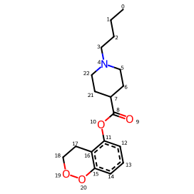 CCCCN1CCC(C(=O)Oc2cccc3c2CCOO3)CC1